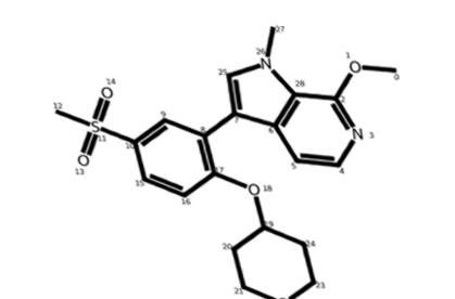 COc1nccc2c(-c3cc(S(C)(=O)=O)ccc3OC3CCOCC3)cn(C)c12